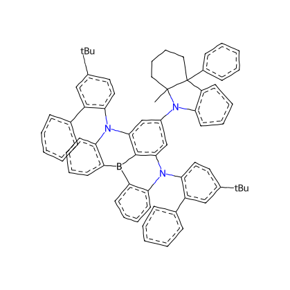 CC(C)(C)c1ccc(N2c3ccccc3B3c4ccccc4N(c4ccc(C(C)(C)C)cc4-c4ccccc4)c4cc(N5c6ccccc6C6(c7ccccc7)CCCCC56C)cc2c43)c(-c2ccccc2)c1